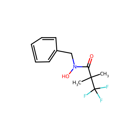 CC(C)(C(=O)N(O)Cc1ccccc1)C(F)(F)F